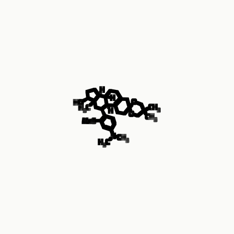 CSc1cc(N(C)C)ccc1[C@H]1C[C@]2(C)[C@@H](O)CC[C@H]2[C@@H]2CCC3=C(CCC4(C3)OCC(C)(C)CO4)[C@H]21